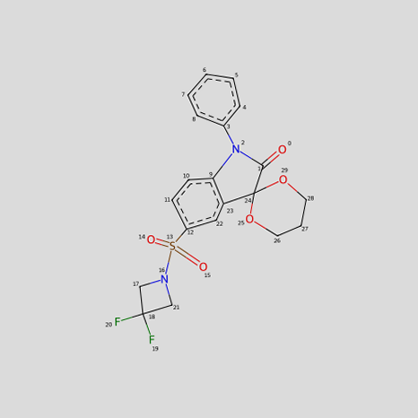 O=C1N(c2ccccc2)c2ccc(S(=O)(=O)N3CC(F)(F)C3)cc2C12OCCCO2